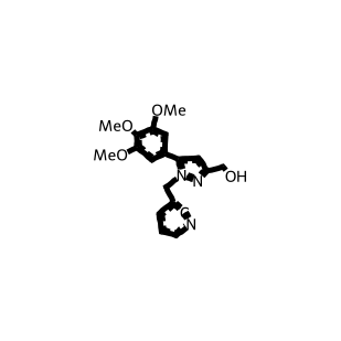 COc1cc(-c2cc(CO)nn2Cc2cccnc2)cc(OC)c1OC